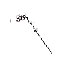 CCC=CCC=CCC=CCC=CCC=CCC=CCCC(=O)NCCOCCNC(=O)CC[C@@H](C)C1CC[C@H]2[C@@H]3[C@H](O)[C@H](CC)[C@@H]4C[C@H](O)CC[C@]4(C)[C@H]3CC[C@]12C